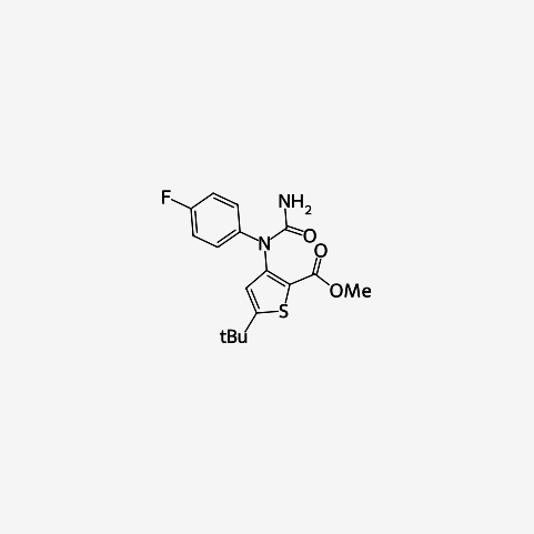 COC(=O)c1sc(C(C)(C)C)cc1N(C(N)=O)c1ccc(F)cc1